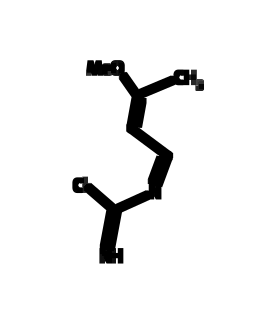 CO/C(C)=C/C=N\C(=N)Cl